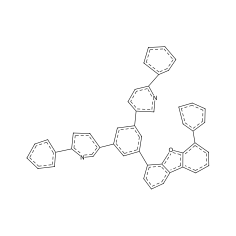 c1ccc(-c2ccc(-c3cc(-c4ccc(-c5ccccc5)nc4)cc(-c4cccc5c4oc4c(-c6ccccc6)cccc45)c3)cn2)cc1